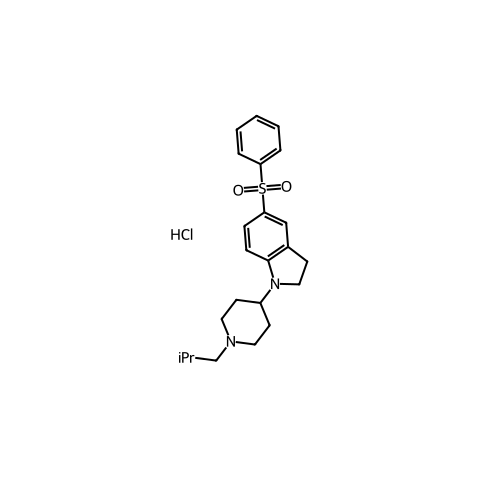 CC(C)CN1CCC(N2CCc3cc(S(=O)(=O)c4ccccc4)ccc32)CC1.Cl